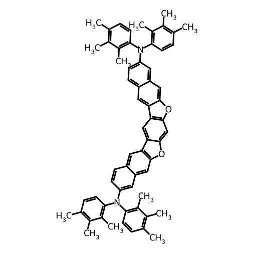 Cc1ccc(N(c2ccc3cc4c(cc3c2)oc2cc3oc5cc6cc(N(c7ccc(C)c(C)c7C)c7ccc(C)c(C)c7C)ccc6cc5c3cc24)c2ccc(C)c(C)c2C)c(C)c1C